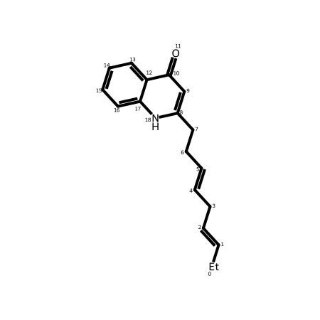 CCC=CCC=CCCc1cc(=O)c2ccccc2[nH]1